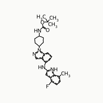 Cc1ccc(F)c2cc(Nc3cccc4c3cnn4C3CCC(NC(=O)OC(C)(C)C)CC3)[nH]c12